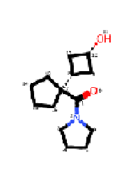 O=C(N1CCCC1)C1([C@H]2C[C@@H](O)C2)CCCC1